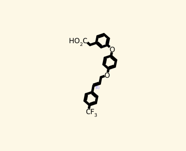 O=C(O)Cc1cccc(Oc2ccc(OC/C=C/c3ccc(C(F)(F)F)cc3)cc2)c1